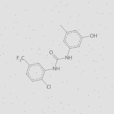 Cc1cc(O)cc(NC(=O)Nc2cc(C(F)(F)F)ccc2Cl)c1